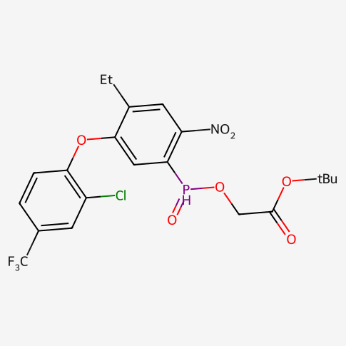 CCc1cc([N+](=O)[O-])c([PH](=O)OCC(=O)OC(C)(C)C)cc1Oc1ccc(C(F)(F)F)cc1Cl